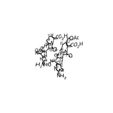 CO/N=C(/C(=O)N[C@@H]1C(=O)N2C(C(=O)O)=C(COC(C)=O)CS[C@H]12)c1csc(N)n1.CO/N=C(\C(=O)N[C@@H]1C(=O)N2C(C(=O)O)=CCS[C@H]12)c1csc(N)n1